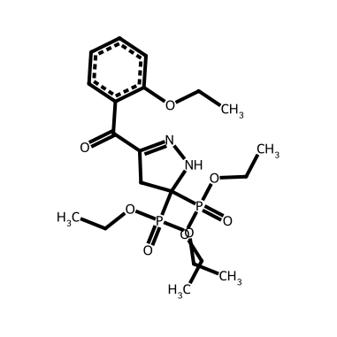 CCOc1ccccc1C(=O)C1=NNC(P(=O)(OCC)OCC)(P(=O)(OCC)OCC)C1